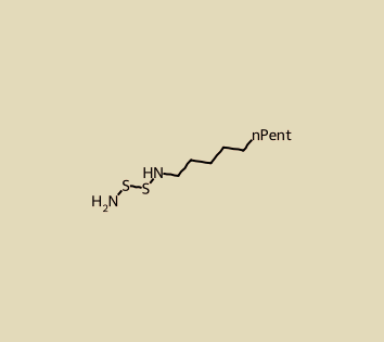 CCCCCCCCCCNSSN